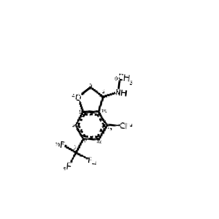 CNC1COc2cc(C(F)(F)F)cc(Cl)c21